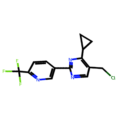 FC(F)(F)c1ccc(-c2ncc(CCl)c(C3CC3)n2)cn1